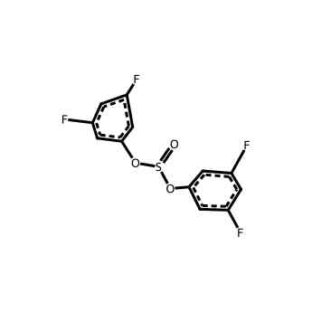 O=S(Oc1cc(F)cc(F)c1)Oc1cc(F)cc(F)c1